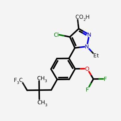 CCn1nc(C(=O)O)c(Cl)c1-c1ccc(CC(C)(C)CC(F)(F)F)cc1OC(F)F